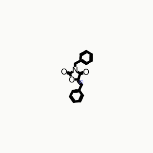 O=C1O/C(=C\c2ccccc2)C(=O)N1Cc1ccccc1